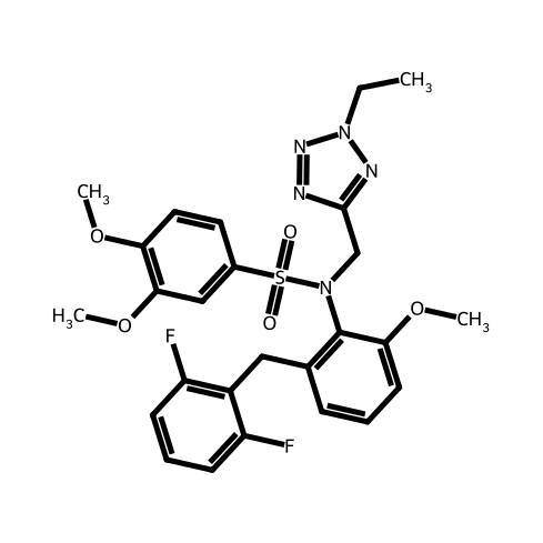 CCn1nnc(CN(c2c(Cc3c(F)cccc3F)cccc2OC)S(=O)(=O)c2ccc(OC)c(OC)c2)n1